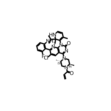 C=CC(=O)N1C[C@H](C)N(c2nc(=O)n(C3=C(C)C=CNC3(C)C(C)C)c3nc(-c4c(N)cccc4F)c(Cl)cc23)C[C@H]1C